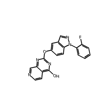 Oc1nc(Oc2ccc3c(cnn3-c3ccccc3F)c2)nc2cnccc12